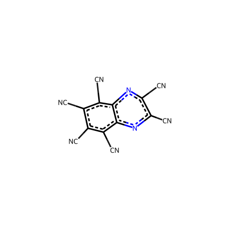 N#Cc1nc2c(C#N)c(C#N)c(C#N)c(C#N)c2nc1C#N